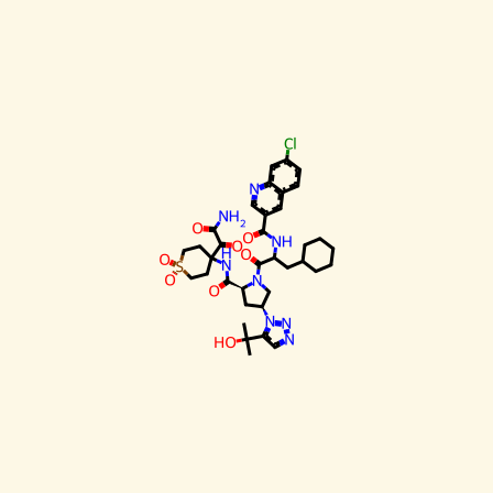 CC(C)(O)c1cnnn1[C@H]1C[C@@H](C(=O)NC2(C(=O)C(N)=O)CCS(=O)(=O)CC2)N(C(=O)C(CC2CCCCC2)NC(=O)c2cnc3cc(Cl)ccc3c2)C1